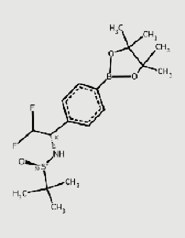 CC(C)(C)[S@@+]([O-])N[C@@H](c1ccc(B2OC(C)(C)C(C)(C)O2)cc1)C(F)F